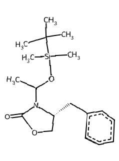 CC(O[Si](C)(C)C(C)(C)C)N1C(=O)OC[C@H]1Cc1ccccc1